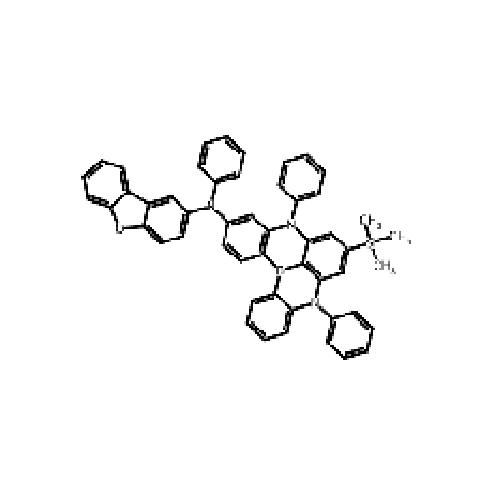 C[Si](C)(C)c1cc2c3c(c1)N(c1ccccc1)c1cc(N(c4ccccc4)c4ccc5oc6ccccc6c5c4)ccc1B3c1ccccc1N2c1ccccc1